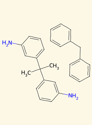 CC(C)(c1cccc(N)c1)c1cccc(N)c1.c1ccc(Cc2ccccc2)cc1